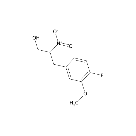 COc1cc(CC(CO)[N+](=O)[O-])ccc1F